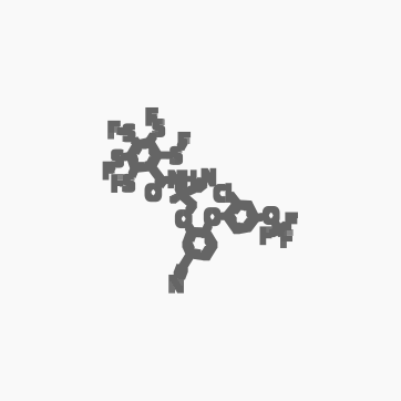 C[C@@](C#N)(COc1cc(C#N)ccc1Oc1ccc(OC(F)(F)F)cc1Cl)NC(=O)c1c(SF)c(SF)c(SF)c(SF)c1SF